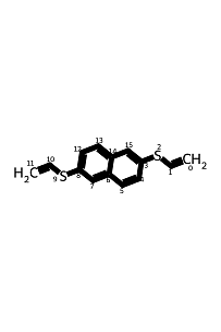 C=CSc1ccc2cc(SC=C)ccc2c1